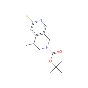 CC1CN(C(=O)OC(C)(C)C)Cc2cnc(F)cc21